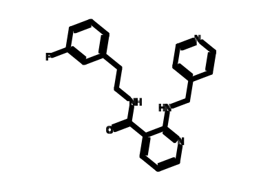 O=C(NCCc1cccc(F)c1)c1cccnc1NCc1ccncc1